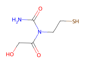 NC(=O)N(CCS)C(=O)CO